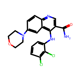 NC(=O)c1cnc2ccc(N3CCOCC3)cc2c1Nc1cccc(Cl)c1Cl